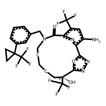 Nc1cc(C(F)(F)F)c2nc1-c1nnc(o1)[C@@](O)(C(F)(F)F)CCCCCN(Cc1cccc(C3(C(F)(F)F)CC3)c1)C2=O